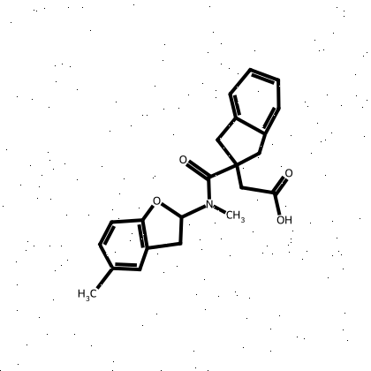 Cc1ccc2c(c1)CC(N(C)C(=O)C1(CC(=O)O)Cc3ccccc3C1)O2